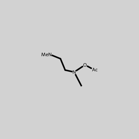 CNCCN(C)OC(C)=O